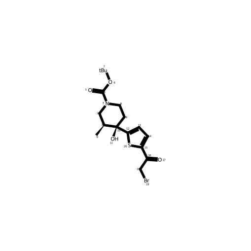 C[C@H]1CN(C(=O)OC(C)(C)C)CC[C@]1(O)c1ccc(C(=O)CBr)s1